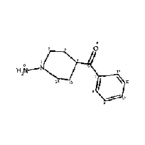 NN1CCC(C(=O)c2ccccc2)CC1